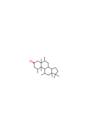 CC1CC2(C)C(CCC2(C)C)C2CC(C)C3(C)CC(=O)CC(C)C3(C)C12